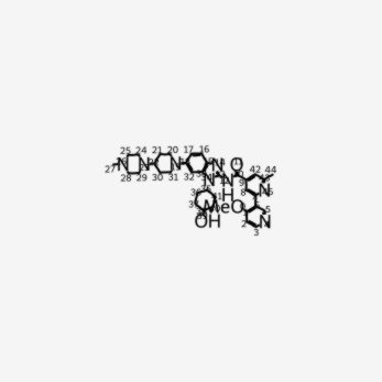 COc1ccncc1-c1cc(C(=O)Nc2nc3ccc(N4CCC(N5CCN(C)CC5)CC4)cc3n2[C@H]2CC[C@@H](O)CC2)cc(C)n1